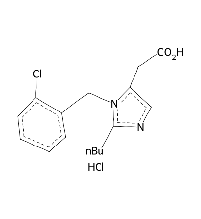 CCCCc1ncc(CC(=O)O)n1Cc1ccccc1Cl.Cl